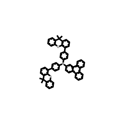 CC1(C)c2ccccc2Oc2c(-c3ccc(N(c4ccc(-c5cccc6c5Sc5ccccc5C6(C)C)cc4)c4ccc5c6ccccc6c6ccccc6c5c4)cc3)cccc21